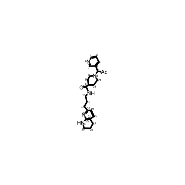 CC(=O)C(c1cccnc1)N1CCC(C(=O)NCCCc2ccc3c(n2)NCCC3)CC1